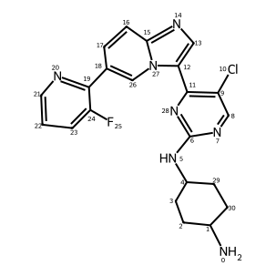 NC1CCC(Nc2ncc(Cl)c(-c3cnc4ccc(-c5ncccc5F)cn34)n2)CC1